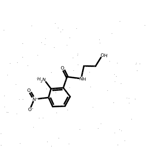 Nc1c(C(=O)NCCO)cccc1[N+](=O)[O-]